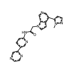 Cn1nccc1-c1cncc2c1ccn2CC(=O)Nc1ccc(-c2cnccn2)cn1